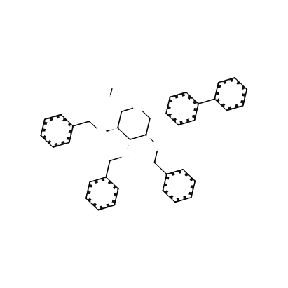 CO[C@@H]1O[C@H](c2ccc(-c3ccccc3)cc2)[C@@H](OCc2ccccc2)[C@H](OCc2ccccc2)[C@H]1OCc1ccccc1